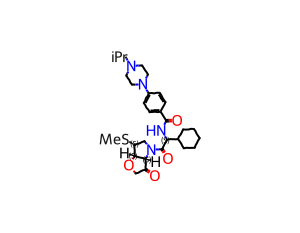 CS[C@H]1CN(C(=O)[C@@H](NC(=O)c2ccc(N3CCN(C(C)C)CC3)cc2)C2CCCCC2)[C@@H]2C(=O)CO[C@H]12